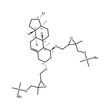 CC[C@H]1CC[C@H]2[C@@H]3CC=C4C[C@@H](OCC5OC5(C)CO[Si](C)(C)C(C)(C)C)C[C@H](OCC5OC5(C)CO[Si](C)(C)C(C)(C)C)[C@]4(C)[C@H]3CC[C@]12C